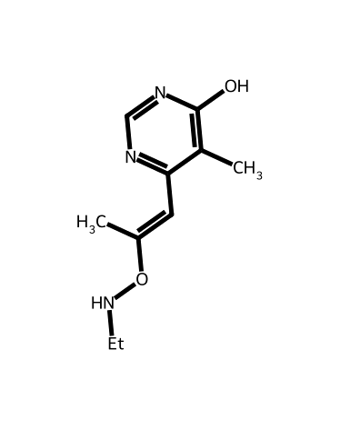 CCNO/C(C)=C/c1ncnc(O)c1C